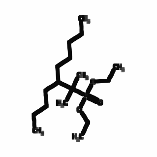 CCCCCC(CCCC)C(C)(C)P(=O)(OCC)OCC